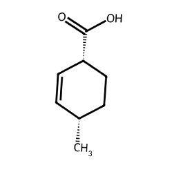 C[C@@H]1C=C[C@H](C(=O)O)CC1